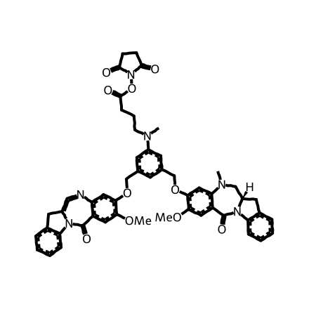 COc1cc2c(cc1OCc1cc(COc3cc4c(cc3OC)C(=O)N3c5ccccc5C[C@H]3CN4C)cc(N(C)CCCC(=O)ON3C(=O)CCC3=O)c1)N=C=C1Cc3ccccc3N1C2=O